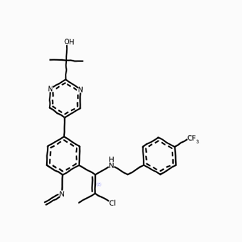 C=Nc1ccc(-c2cnc(C(C)(C)O)nc2)cc1/C(NCc1ccc(C(F)(F)F)cc1)=C(\C)Cl